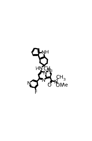 CON(C)C(=O)c1cnn2c(NC3(C)CCc4[nH]c5ccccc5c4C3)cc(-c3cncc(F)c3)nc12